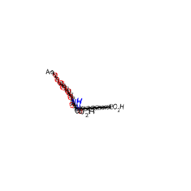 CC(=O)CCOCCOCCOCCOCCOCCOCCNC(=O)CC[C@H](NC(=O)CCCCCCCCCCCCCCC(=O)O)C(=O)O